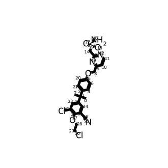 CC(C)(c1ccc(OCc2ccnc(CS(N)(=O)=O)n2)cc1)c1cc(Cl)c(OCCCl)c(C#N)c1